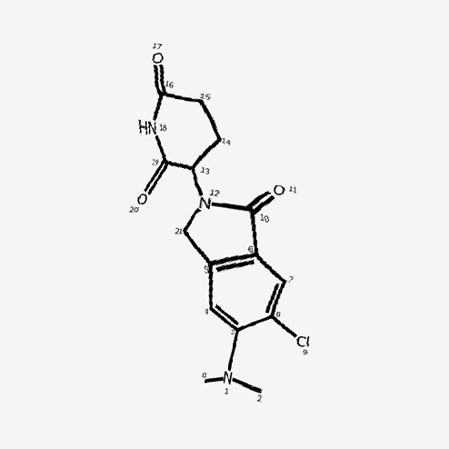 CN(C)c1cc2c(cc1Cl)C(=O)N(C1CCC(=O)NC1=O)C2